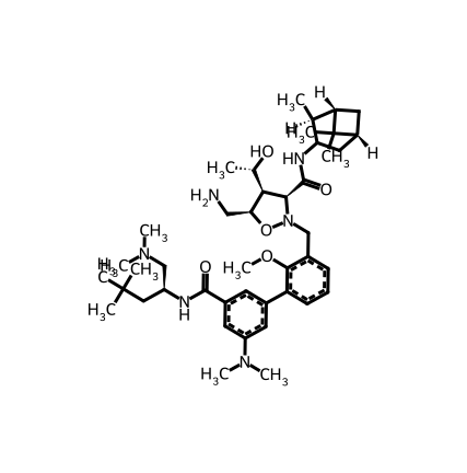 COc1c(CN2O[C@@H](CN)[C@@H]([C@H](C)O)[C@H]2C(=O)NC2C[C@H]3C[C@@H]([C@@H]2C)C3(C)C)cccc1-c1cc(C(=O)N[C@H](CN(C)C)CC(C)(C)C)cc(N(C)C)c1